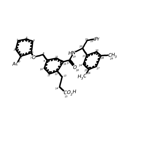 CC(=O)c1ccccc1OCc1ccc(CCC(=O)O)c(C(=O)NC(CC(C)C)c2cc(C)cc(C)c2)c1